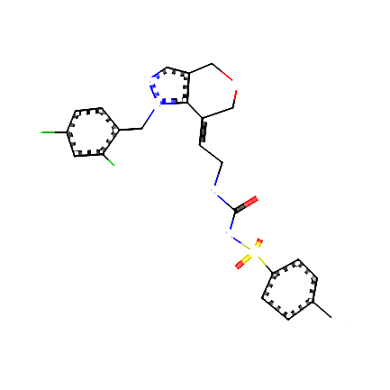 COc1ccc(S(=O)(=O)NC(=O)NCC=C2COCc3cnn(Cc4ccc(Cl)cc4Cl)c32)cc1